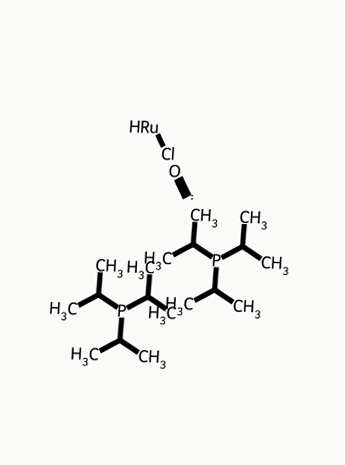 CC(C)P(C(C)C)C(C)C.CC(C)P(C(C)C)C(C)C.[C]=O.[Cl][RuH]